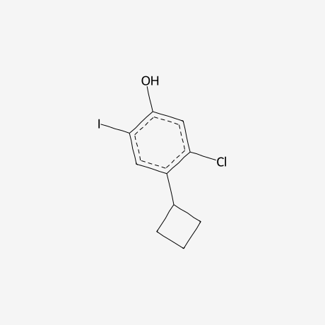 Oc1cc(Cl)c(C2CCC2)cc1I